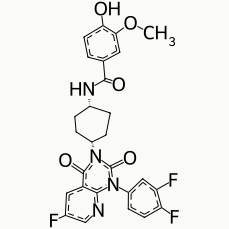 COc1cc(C(=O)N[C@H]2CC[C@@H](n3c(=O)c4cc(F)cnc4n(-c4ccc(F)c(F)c4)c3=O)CC2)ccc1O